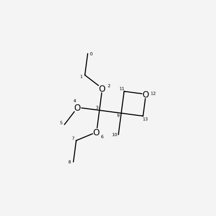 CCOC(OC)(OCC)C1(C)COC1